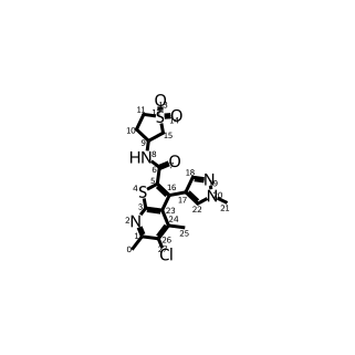 Cc1nc2sc(C(=O)NC3CCS(=O)(=O)C3)c(-c3cnn(C)c3)c2c(C)c1Cl